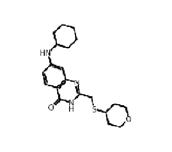 O=c1[nH]c(CSC2CCOCC2)nc2cc(NC3CCCCC3)ccc12